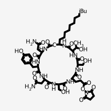 CCC(C)CCCCCCCCC1CC(=O)NC(CC(N)=O)C(=O)NC(Cc2ccc(O)cc2)C(=O)NC(CC(N)=O)C(=O)NC(CO)C(=O)NC(CCC(=O)ON2C(=O)CCC2=O)C(=O)NC(CO)C(=O)NC(C(C)O)C(=O)N1